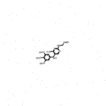 CCOCNc1ncc(Cc2cc(OC)c(OC)c(OC)c2)c(N)n1.Cl